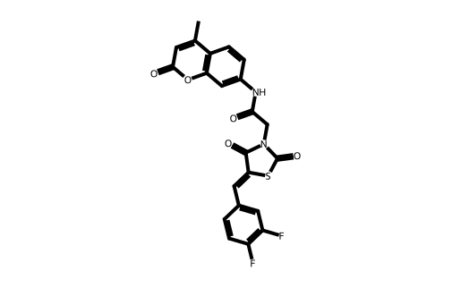 Cc1cc(=O)oc2cc(NC(=O)CN3C(=O)S/C(=C\c4ccc(F)c(F)c4)C3=O)ccc12